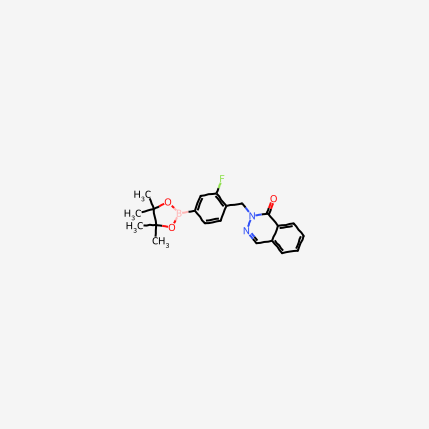 CC1(C)OB(c2ccc(Cn3ncc4ccccc4c3=O)c(F)c2)OC1(C)C